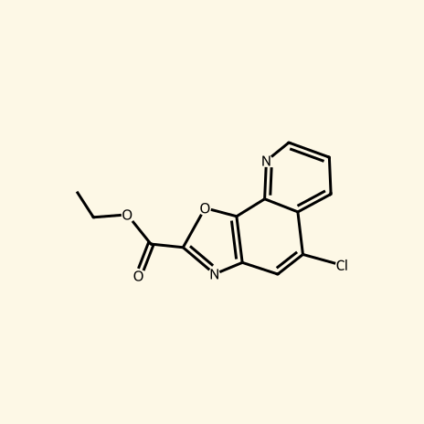 CCOC(=O)c1nc2cc(Cl)c3cccnc3c2o1